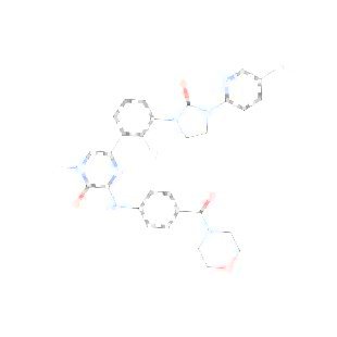 Cc1ccc(N2CCN(c3cccc(-c4cn(C)c(=O)c(Nc5ccc(C(=O)N6CCOCC6)cc5)n4)c3C)C2=O)nc1